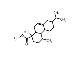 COC(=O)C1(C)CC[C@H](C)C2C3CCC(C(C)C)CC3=CCC21